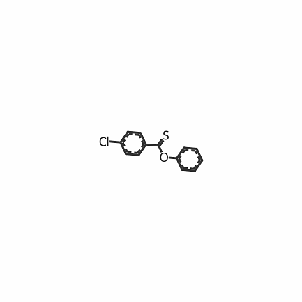 S=C(Oc1ccccc1)c1ccc(Cl)cc1